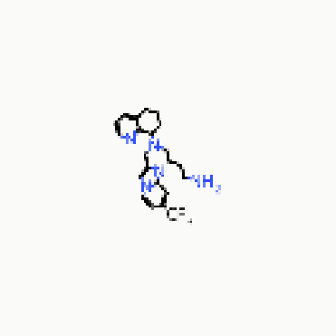 NCCCCN(Cc1cn2ccc(C(F)(F)F)cc2n1)C1CCCc2cccnc21